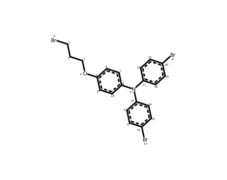 BrCCCOc1ccc(N(c2ccc(Br)cc2)c2ccc(Br)cc2)cc1